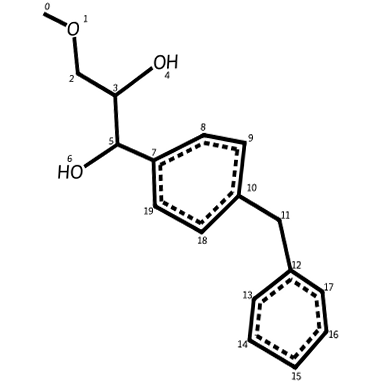 COCC(O)C(O)c1ccc(Cc2ccccc2)cc1